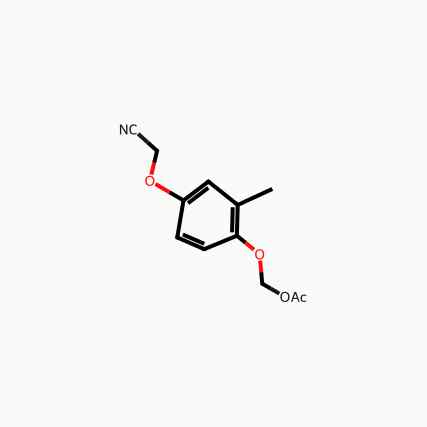 CC(=O)OCOc1ccc(OCC#N)cc1C